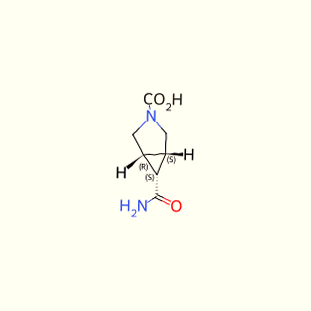 NC(=O)[C@@H]1[C@@H]2CN(C(=O)O)C[C@@H]21